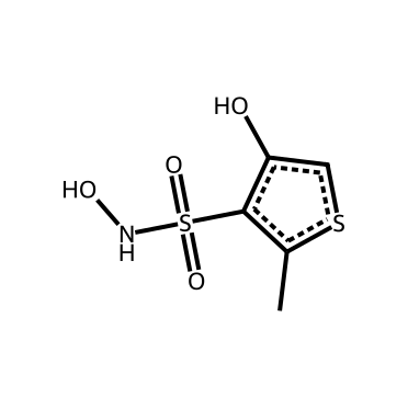 Cc1scc(O)c1S(=O)(=O)NO